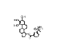 C[C@]12CCC3c4c(cc(O)c(O)c4O)CCC3C1[C@@H](OC(=O)c1cccc(S(N)(=O)=O)c1)CC2